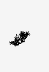 C=[C](CCC[C@@H]1C[C@H]1OC(=O)NC(C(=O)OC(C)(C)C)C(C)(C)C)[Sn]([CH2]CCC)([CH2]CCC)[CH2]CCC